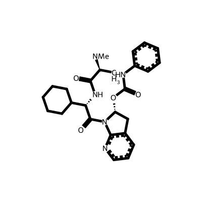 CN[C@@H](C)C(=O)N[C@H](C(=O)N1c2ncccc2C[C@H]1OC(=O)Nc1ccccc1)C1CCCCC1